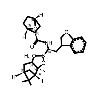 CC1(C)[C@@H]2C[C@H]3OB([C@H](CC4COc5ccccc54)NC(=O)[C@@H]4C[C@H]5CC[C@@H]4O5)O[C@@]3(C)[C@H]1C2